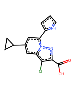 O=C(O)c1nn2c(-c3ccc[nH]3)cc(C3CC3)cc2c1Cl